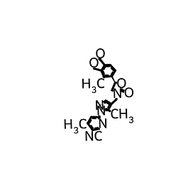 Cc1cc(-n2ncc(CN3C[C@@H](c4ccc5c(c4C)COC5=O)OC3=O)c2C)ncc1C#N